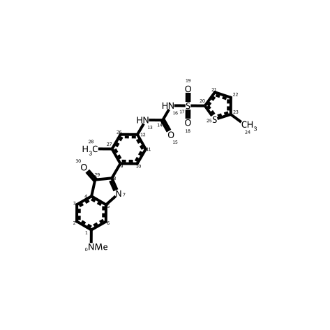 CNc1ccc2c(c1)N=C(c1ccc(NC(=O)NS(=O)(=O)c3ccc(C)s3)cc1C)C2=O